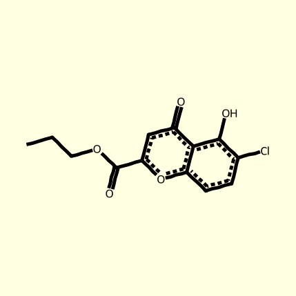 CCCOC(=O)c1cc(=O)c2c(O)c(Cl)ccc2o1